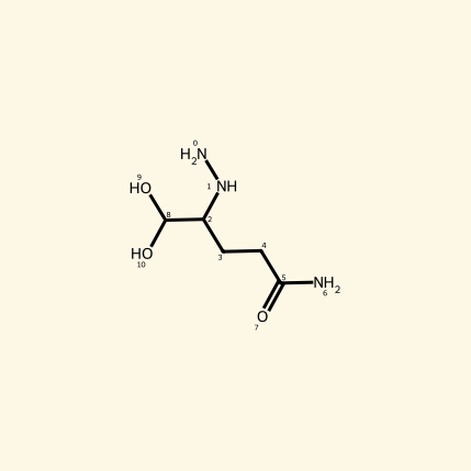 NNC(CCC(N)=O)C(O)O